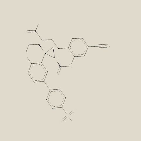 CS(=O)(=O)c1ccc(-c2ccc3c(c2)[C@]2(CCO3)C[C@H]2C(=O)Nc2cc(C#N)ccc2CCCC(=O)O)cc1